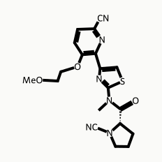 COCCOc1ccc(C#N)nc1-c1csc(N(C)C(=O)[C@@H]2CCCN2C#N)n1